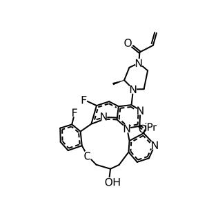 C=CC(=O)N1CCN(c2nc(=O)n3c4nc(c(F)cc24)-c2c(F)cccc2CCC(O)Cc2ccnc(C(C)C)c2-3)[C@@H](C)C1